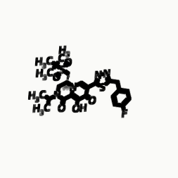 CC(C)N1C[C@H](CS(=O)(=O)C(C)(C)C)n2cc(-c3nnc(Cc4ccc(F)cc4)s3)c(=O)c(O)c2C1=O